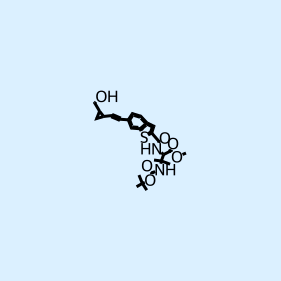 COC(=O)C(NC(=O)c1cc2ccc(C#CC3CC3CO)cc2s1)C(C)(C)NC(=O)OC(C)(C)C